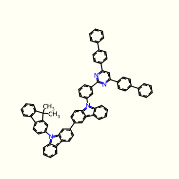 CC1(C)c2ccccc2-c2ccc(-n3c4ccccc4c4ccc(-c5ccc6c(c5)c5ccccc5n6-c5cccc(-c6nc(-c7ccc(-c8ccccc8)cc7)cc(-c7ccc(-c8ccccc8)cc7)n6)c5)cc43)cc21